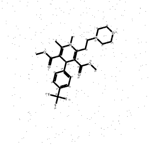 COC(=O)C1=C(C)N(C)C(CCN2CCOCC2)=C(C(=O)OC)C1c1ccc(C(F)(F)F)cc1